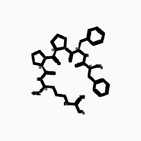 N=C(N)NCCC[C@@H]([C]=O)NC(=O)[C@@H]1CCCN1C(=O)[C@@H]1CCCN1C(=O)[C@H](Cc1ccccc1)NC(=O)[C@@H](N)Cc1ccccc1